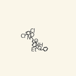 CCc1cc(C=Cc2nc3c(Cl)ccc(Cl)c3o2)c(=O)[nH]c1COCc1ccccc1